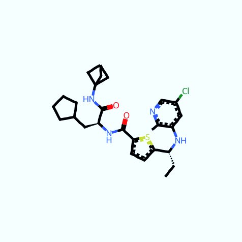 CC[C@@H](Nc1cc(Cl)cnc1C)c1ccc(C(=O)N[C@@H](CC2CCCC2)C(=O)NC23CC(C2)C3)s1